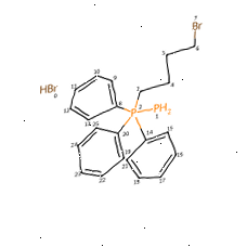 Br.PP(CCCCBr)(c1ccccc1)(c1ccccc1)c1ccccc1